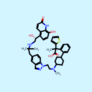 CN(CCn1ncc2cc(CC(C)(C)NC[C@H](O)c3ccc(O)c4[nH]c(=O)ccc34)ccc21)C1CCC(c2ccccc2C(C)(C(=O)O)c2cccs2)CC1